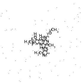 CCOCCNc1nc(C)c(-c2nc3c(C)nccc3s2)c(N[C@@H]2C[C@H](C(C)(F)F)[C@@H](O)[C@H]2O)n1